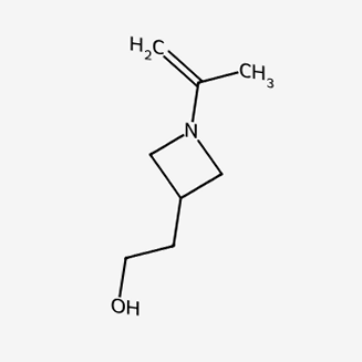 C=C(C)N1CC(CCO)C1